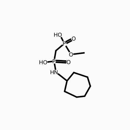 COP(=O)(O)CP(=O)(O)NC1CCCCCC1